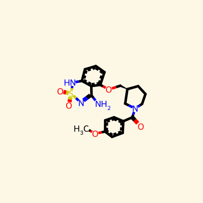 COc1ccc(C(=O)N2CCC[C@H](COc3cccc4c3C(N)=NS(=O)(=O)N4)C2)cc1